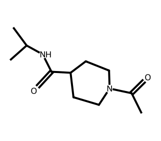 CC(=O)N1CCC(C(=O)NC(C)C)CC1